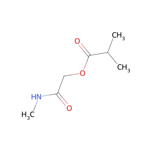 CNC(=O)COC(=O)C(C)C